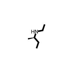 CCN[C@H](C)CC